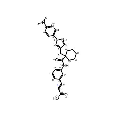 CN(C)c1ccc(-n2cc(CC3(C(=O)Nc4cccc(/C=C/C(=O)O)c4)CCCCC3)cn2)cn1